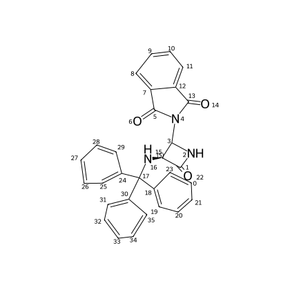 O=C1NC(N2C(=O)c3ccccc3C2=O)[C@@H]1NC(c1ccccc1)(c1ccccc1)c1ccccc1